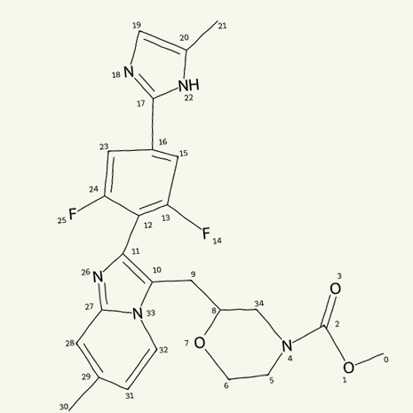 COC(=O)N1CCOC(Cc2c(-c3c(F)cc(-c4ncc(C)[nH]4)cc3F)nc3cc(C)ccn23)C1